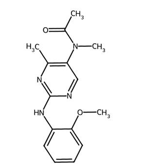 COc1ccccc1Nc1ncc(N(C)C(C)=O)c(C)n1